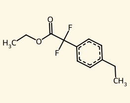 CCOC(=O)C(F)(F)c1ccc(CC)cc1